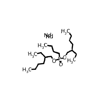 CCCCC(CC)COP(=O)(CCCC)OCC(CC)CCCC.[Nd].[Nd]